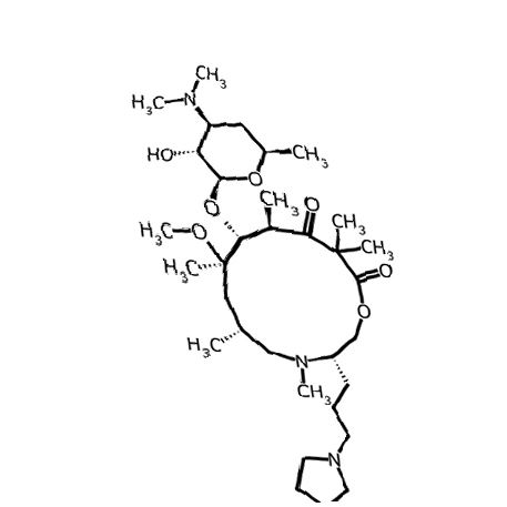 CO[C@]1(C)C[C@@H](C)CN(C)[C@@H](CCCN2CCCC2)COC(=O)C(C)(C)C(=O)[C@H](C)[C@H]1O[C@@H]1O[C@H](C)C[C@H](N(C)C)[C@H]1O